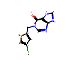 O=c1c2[nH]cnc2ncn1Cc1cc(Br)cs1